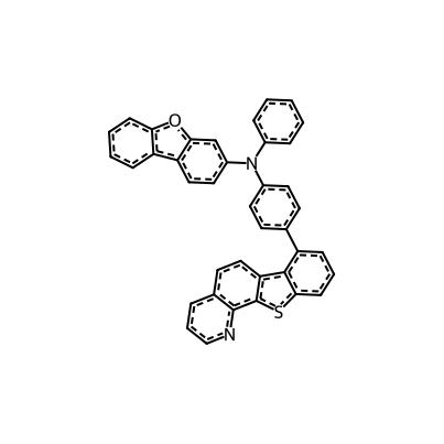 c1ccc(N(c2ccc(-c3cccc4sc5c(ccc6cccnc65)c34)cc2)c2ccc3c(c2)oc2ccccc23)cc1